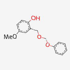 COc1ccc(O)c(COCOc2ccccc2)c1